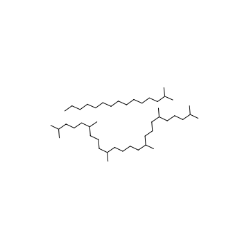 CC(C)CCCC(C)CCCC(C)CCCCC(C)CCCC(C)CCCC(C)C.CCCCCCCCCCCCCC(C)C